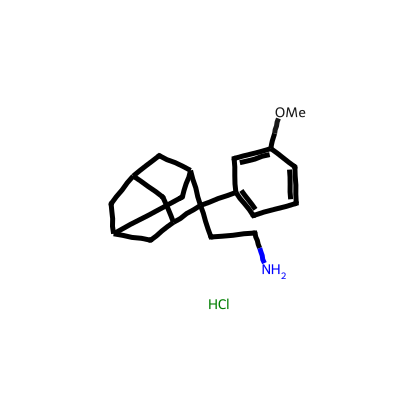 COc1cccc(C2(CCN)C3CC4CC(C3)CC2C4)c1.Cl